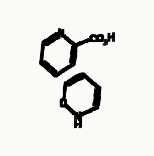 C1=CNOC=C1.O=C(O)c1ccccn1